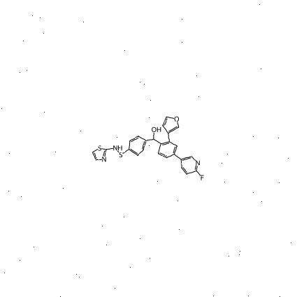 OC(c1ccc(SNc2nccs2)cc1)c1ccc(-c2ccc(F)nc2)cc1-c1ccoc1